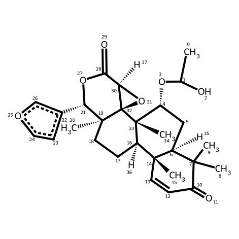 CC(O)O[C@@H]1C[C@H]2C(C)(C)C(=O)C=C[C@]2(C)[C@H]2CC[C@@]3(C)[C@H](c4ccoc4)OC(=O)[C@H]4O[C@]43[C@@]21C